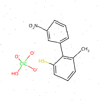 Cc1cccc(S)c1-c1cccc([N+](=O)[O-])c1.[O-][Cl+3]([O-])([O-])O